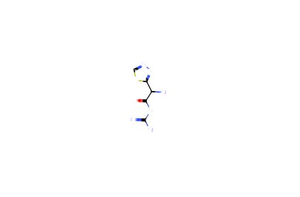 N=C(N)NC(=O)C(N)c1nn[c]s1